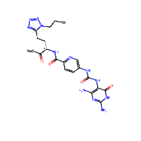 COC(=O)[C@H](CCc1nnnn1CCC#N)NC(=O)c1ccc(NC(=O)Nc2c(N)nc(N)[nH]c2=O)cn1